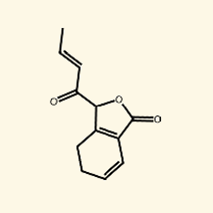 C/C=C/C(=O)C1OC(=O)C2=C1CCC=C2